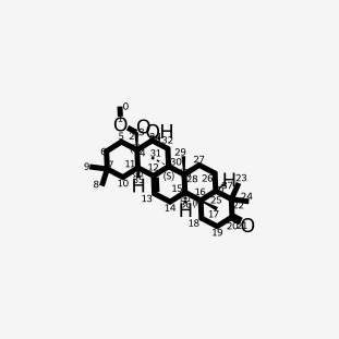 COC(=O)[C@]12CCC(C)(C)C[C@H]1C1=CC[C@@H]3[C@@]4(C)CCC(=O)C(C)(C)[C@@H]4CC[C@@]3(C)[C@]1(C)C[C@H]2O